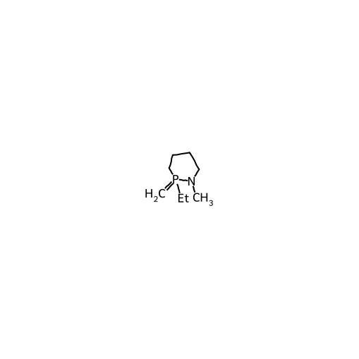 C=P1(CC)CCCCN1C